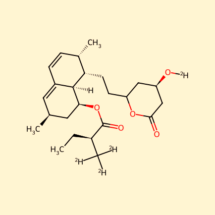 [2H]O[C@H]1CC(=O)OC(CC[C@@H]2[C@@H]3C(=C[C@H](C)C[C@@H]3OC(=O)[C@H](CC)C([2H])([2H])[2H])C=C[C@@H]2C)C1